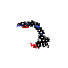 CCC(=C(c1ccc(O)cc1)c1ccc(N2CCC(CN3CCN(c4ccc5c(c4)C(=O)N(C4CCC(=O)NC4=O)C5)CC3)CC2)cc1)c1ccccc1